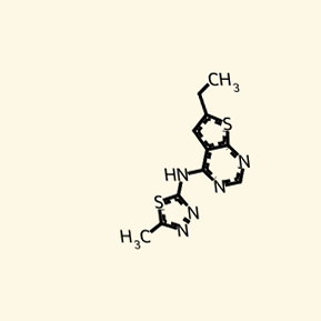 CCc1cc2c(Nc3nnc(C)s3)ncnc2s1